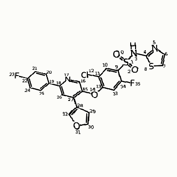 O=S(=O)(Nc1nccs1)c1cc(Cl)c(Oc2cnc(-c3ccc(F)cc3)cc2-c2ccoc2)cc1F